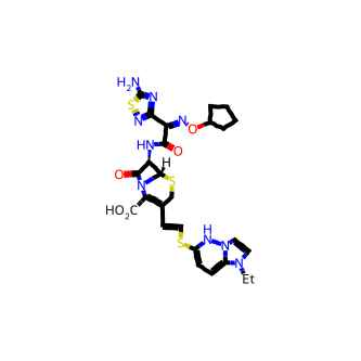 CCN1C=CN2NC(S/C=C/C3=C(C(=O)O)N4C(=O)[C@@H](NC(=O)/C(=N\OC5CCCC5)c5nsc(N)n5)[C@@H]4SC3)=CC=C12